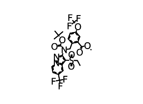 CCS(=O)(=O)c1c(N(Cc2ccc(OC(F)(F)F)cc2C(=O)OC)C(=O)OC(C)(C)C)nn2ccc(C(F)(F)F)cc12